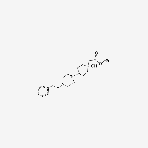 CC(C)(C)OC(=O)CC1(O)CCC(N2CCN(CCc3ccccc3)CC2)CC1